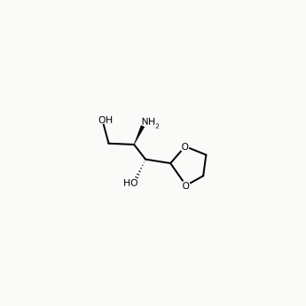 N[C@H](CO)[C@@H](O)C1OCCO1